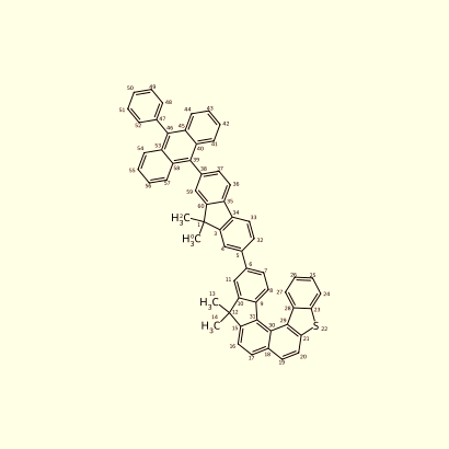 CC1(C)c2cc(-c3ccc4c(c3)C(C)(C)c3ccc5ccc6sc7ccccc7c6c5c3-4)ccc2-c2ccc(-c3c4ccccc4c(-c4ccccc4)c4ccccc34)cc21